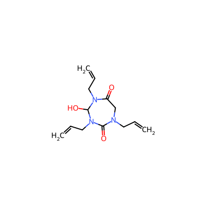 C=CCN1CC(=O)N(CC=C)C(O)N(CC=C)C1=O